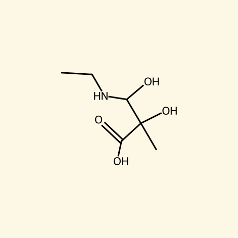 CCNC(O)C(C)(O)C(=O)O